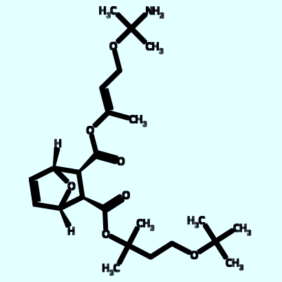 C/C(=C\COC(C)(C)N)OC(=O)[C@H]1[C@@H](C(=O)OC(C)(C)CCOC(C)(C)C)[C@@H]2C=C[C@H]1O2